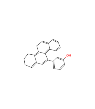 Oc1cccc(-c2cc3c(c4c2=c2ccccc2=CC4)CCCC=3)c1